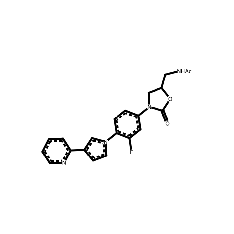 CC(=O)NCC1CN(c2ccc(-n3ccc(-c4ccccn4)c3)c(F)c2)C(=O)O1